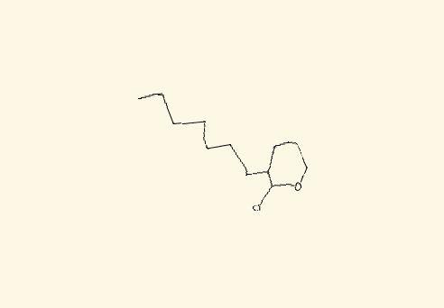 CCCCCCCC1CCCOC1Cl